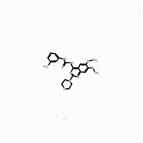 COc1cc2nc(N3CCOCC3)nc(NC(=O)Nc3cccc(C)c3)c2cc1OC